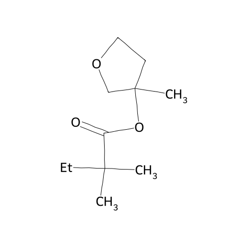 CCC(C)(C)C(=O)OC1(C)CCOC1